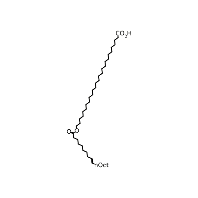 CCCCCCCCC=CCCCCCCCC(=O)OCCCCCCCCCCCCCCCCCCCCCCCCCCC(=O)O